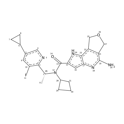 C[C@H](c1ncc(C2CC2)cc1F)N(C(=O)c1cc2nc(N)c3c(c2[nH]1)COC3)C1CCC1